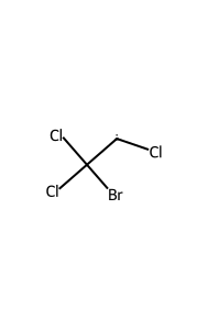 Cl[CH]C(Cl)(Cl)Br